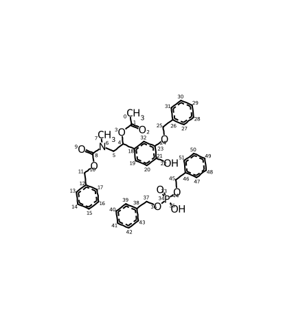 CC(=O)OC(CN(C)C(=O)OCc1ccccc1)c1ccc(O)c(OCc2ccccc2)c1.O=P(O)(OCc1ccccc1)OCc1ccccc1